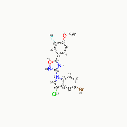 CC(C)Oc1ccc(-c2nc(-n3cc(Cl)c4cc(Br)ccc43)no2)cc1F